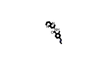 C/C=C/c1ccc(C(=O)Nc2cnc3cccnc3c2)c(C)c1